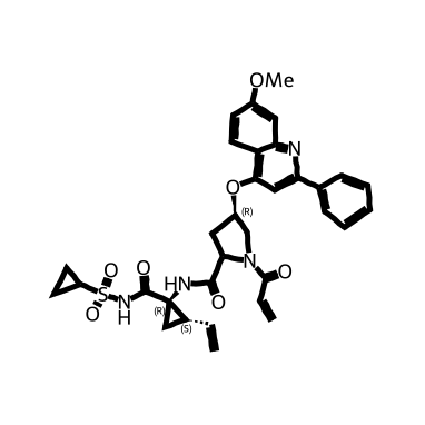 C=CC(=O)N1C[C@H](Oc2cc(-c3ccccc3)nc3cc(OC)ccc23)CC1C(=O)N[C@]1(C(=O)NS(=O)(=O)C2CC2)C[C@H]1C=C